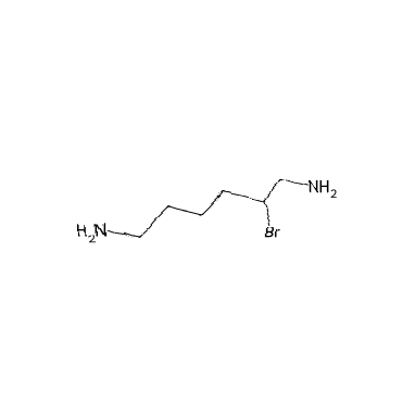 NCCCCC(Br)CN